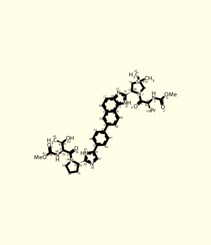 COC(=O)N[C@H](C(=O)N1C[Si](C)(C)C[C@H]1c1nc2ccc3cc(-c4ccc(-c5cnc([C@@H]6CCCN6C(=O)[C@@H](NC(=O)OC)[C@@H](C)O)[nH]5)cc4)ccc3c2[nH]1)C(C)C